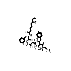 CCNC(=O)C(CO)[C@H](Cc1ccc(Cl)cc1)NC(=O)[C@@H](NC(=O)[C@H](Cc1ccccc1)NC(=O)CCCCC1CCSS1)C(C)C